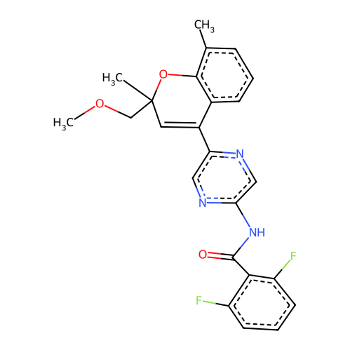 COCC1(C)C=C(c2cnc(NC(=O)c3c(F)cccc3F)cn2)c2cccc(C)c2O1